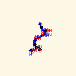 CCN(c1cc(-c2ccc(CN3CCN(C(=O)CCC(=O)NCCCC(=O)N[C@H](C(=O)N4C[C@H](O)C[C@@H]4C(=O)NCc4ccc(-c5scnc5C)cc4)C(C)(C)C)CC3)cc2)cc(C(=O)NCc2c(C)cc(C)[nH]c2=O)c1C)C1CCOCC1